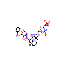 CCCC(NC(=O)[C@@H]1C[C@@H]2CCCC[C@@H]2N1C(=O)[C@@H](NC(=O)CNC(=O)C(CNC(=O)OC)NC(=O)OC)C(C)(C)C)C(=O)C(=O)N[C@@H](C)c1ccccc1